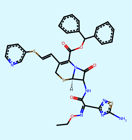 CCO/N=C(\C(=O)NC1C(=O)N2C(C(=O)OC(c3ccccc3)c3ccccc3)=C(/C=C/Sc3cccnc3)CS[C@H]12)c1nsc(N)n1